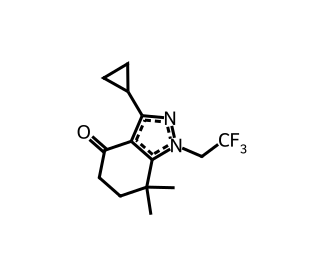 CC1(C)CCC(=O)c2c(C3CC3)nn(CC(F)(F)F)c21